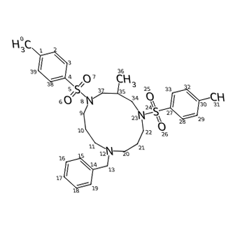 Cc1ccc(S(=O)(=O)N2CCCN(Cc3ccccc3)CCCN(S(=O)(=O)c3ccc(C)cc3)CC(C)C2)cc1